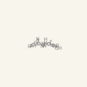 N#Cc1cc(-c2ncnc(Nc3ccc(N4CCN(C(=O)O)CC4)c(F)c3)n2)ccc1O[C@H]1CCN(C=O)C[C@@H]1F